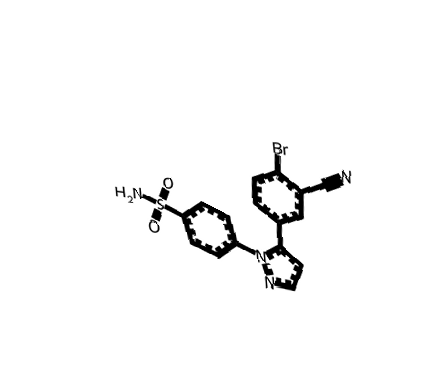 N#Cc1cc(-c2ccnn2-c2ccc(S(N)(=O)=O)cc2)ccc1Br